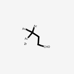 CC(=O)C(CCC=O)(C(C)=O)C(C)=O.[Zr]